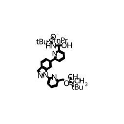 CCC[C@@](O)(N[S@+]([O-])C(C)(C)C)c1cccc(-c2ccc3cnn(-c4cccc(CO[Si](C)(C)C(C)(C)C)n4)c3c2)n1